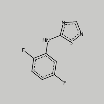 Fc1ccc(F)c(Nc2ncns2)c1